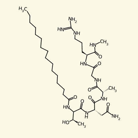 CCCCCCCCCCCCCCCC(=O)NC(C(=O)N[C@@H](CC(N)=O)C(=O)N[C@@H](C)C(=O)NCC(=O)N[C@@H](CCCNC(=N)N)C(=O)NC)[C@@H](C)O